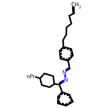 C=CCCCCCc1ccc(C=NN=C(c2ccccc2)C2CCC(CCC)CC2)cc1